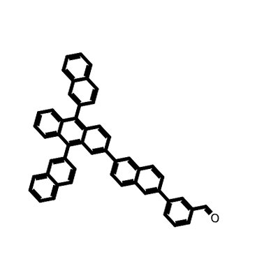 O=Cc1cccc(-c2ccc3cc(-c4ccc5c(-c6ccc7ccccc7c6)c6ccccc6c(-c6ccc7ccccc7c6)c5c4)ccc3c2)c1